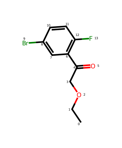 CCOCC(=O)c1cc(Br)ccc1F